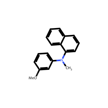 COc1cccc(N(C)c2cccc3ccccc23)c1